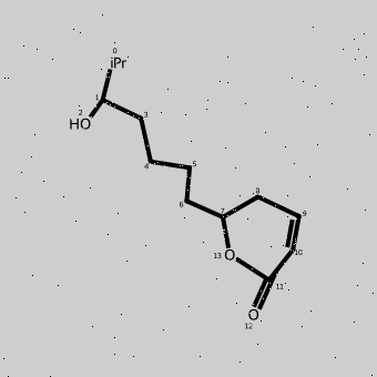 CC(C)C(O)CCCCC1CC=CC(=O)O1